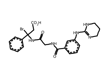 O=C(O)CC(Br)(NC(=O)CNC(=O)c1cccc(NC2=NCCCN2)c1)c1ccccc1